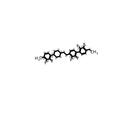 CCc1ccc(-c2ccc(CCC3CCC(c4ccc(C)c(F)c4F)CC3)c(F)c2F)c(F)c1F